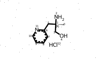 C[C@](N)(CO)Cc1ccccn1.Cl